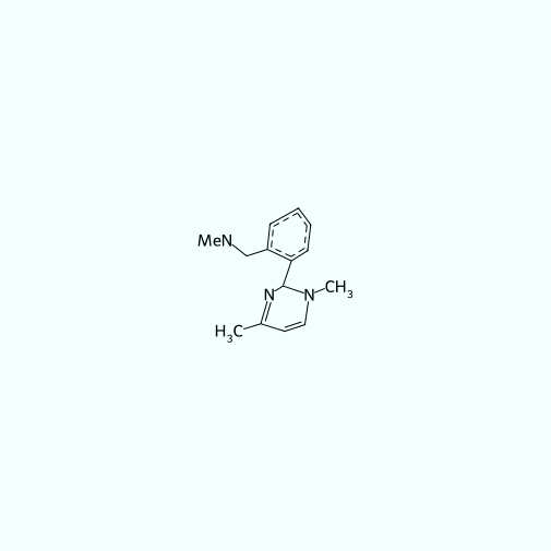 CNCc1ccccc1C1N=C(C)C=CN1C